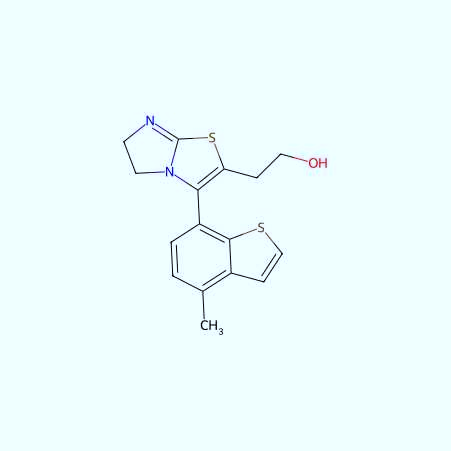 Cc1ccc(C2=C(CCO)SC3=NCCN32)c2sccc12